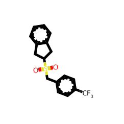 O=S(=O)(Cc1ccc(C(F)(F)F)cc1)C1Cc2ccccc2C1